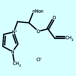 C=CC(=O)OC(CCCCCCCCC)C[n+]1ccn(C)c1.[Cl-]